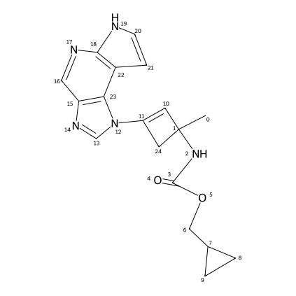 CC1(NC(=O)OCC2CC2)C=C(n2cnc3cnc4[nH]ccc4c32)C1